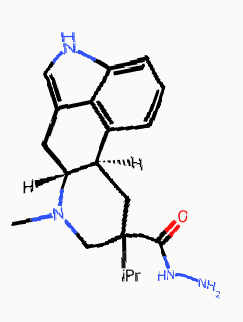 CC(C)C1(C(=O)NN)C[C@@H]2c3cccc4[nH]cc(c34)C[C@H]2N(C)C1